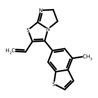 C=CC1=C(c2cc(C)c3ccsc3c2)N2CCN=C2S1